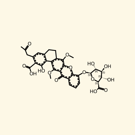 COc1c2c(c(OC)c3c(=O)c4cccc(O[C@@H]5O[C@H](C(=O)O)[C@@H](O)[C@H](O)[C@H]5O)c4oc13)-c1c(cc(CC(C)=O)c(C(=O)O)c1O)CC2